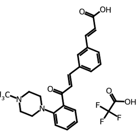 CN1CCN(c2ccccc2C(=O)/C=C/c2cccc(/C=C/C(=O)O)c2)CC1.O=C(O)C(F)(F)F